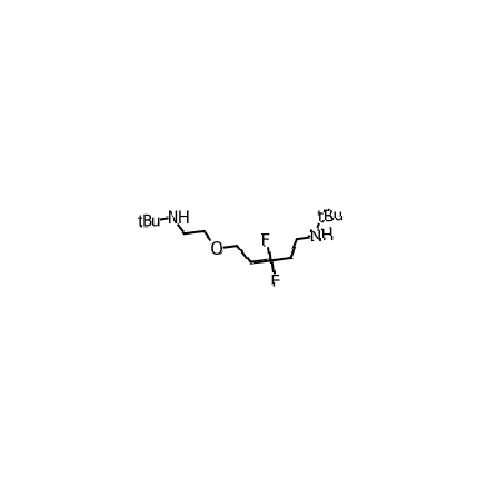 CC(C)(C)NCCOCCC(F)(F)CCNC(C)(C)C